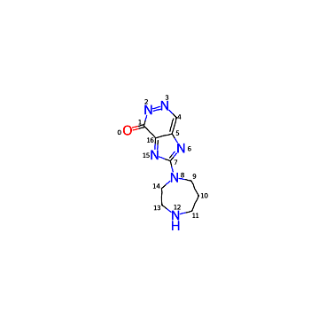 O=C1N=NC=C2N=C(N3CCCNCC3)N=C12